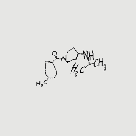 CC1CCC(C(=O)N2CCC(NC(C)C)CC2)CC1